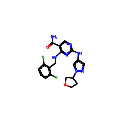 NC(=O)c1cnc(Nc2cnn(C3CCOC3)c2)nc1NCc1c(F)cccc1F